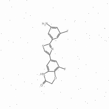 Nc1cc(F)cc(-c2nc(-c3cc(F)c4c(c3)NC(=O)CO4)cs2)c1